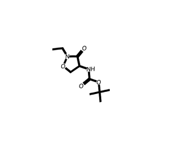 CCN1OCC(NC(=O)OC(C)(C)C)C1=O